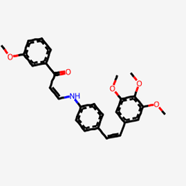 COc1cccc(C(=O)/C=C\Nc2ccc(/C=C\c3cc(OC)c(OC)c(OC)c3)cc2)c1